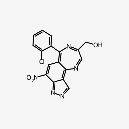 O=[N+]([O-])c1cc2c(-c3ccccc3Cl)nc(CO)cnc2c2cnnc12